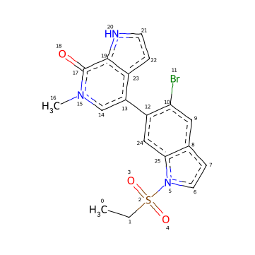 CCS(=O)(=O)n1ccc2cc(Br)c(-c3cn(C)c(=O)c4[nH]ccc34)cc21